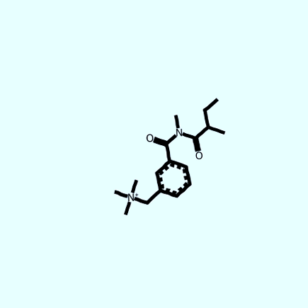 CCC(C)C(=O)N(C)C(=O)c1cccc(C[N+](C)(C)C)c1